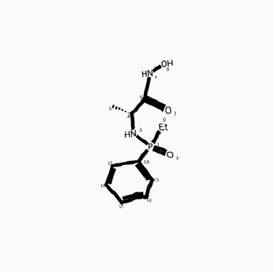 CCP(=O)(N[C@H](C)C(=O)NO)c1ccccc1